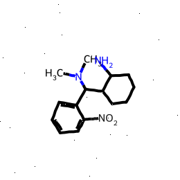 CN(C)C(c1ccccc1[N+](=O)[O-])C1CCCCC1N